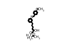 COc1ccc(C=Nc2cccc(CCCC=C(O)C(=O)OC(C)(C)C)c2)cc1